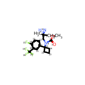 COC(=O)N(CC(C)(C)N)C1(c2ccc(F)c(C(F)(F)F)c2)CCC1